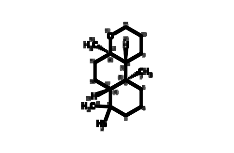 CC1(S)CCC[C@]2(C)[C@H]3CCCO[C@]3(C)CC[C@@H]12